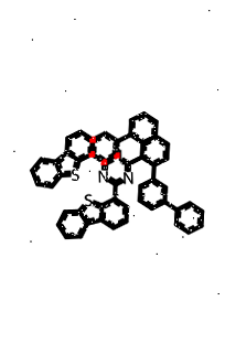 c1ccc(-c2cccc(-c3ccc4cccc(-c5ccccc5)c4c3-c3nc(-c4cccc5c4sc4ccccc45)nc(-c4cccc5c4sc4ccccc45)n3)c2)cc1